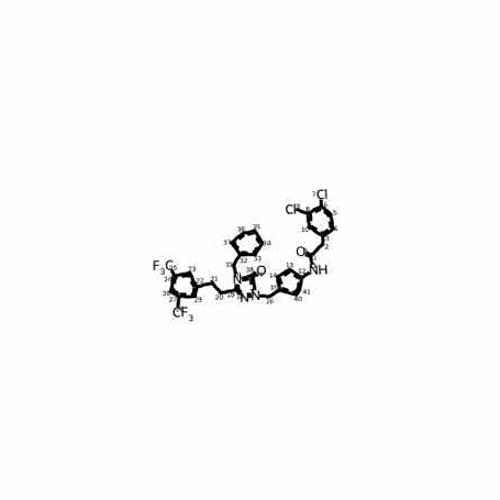 O=C(Cc1ccc(Cl)c(Cl)c1)Nc1ccc(Cn2nc(CCc3cc(C(F)(F)F)cc(C(F)(F)F)c3)n(Cc3ccccc3)c2=O)cc1